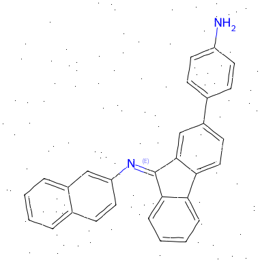 Nc1ccc(-c2ccc3c(c2)/C(=N/c2ccc4ccccc4c2)c2ccccc2-3)cc1